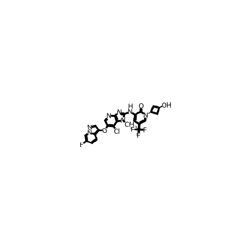 Cn1c(Nc2cc(C(F)(F)F)cn([C@H]3C[C@H](O)C3)c2=O)nc2ncc(Oc3cnn4cc(F)ccc34)c(Cl)c21